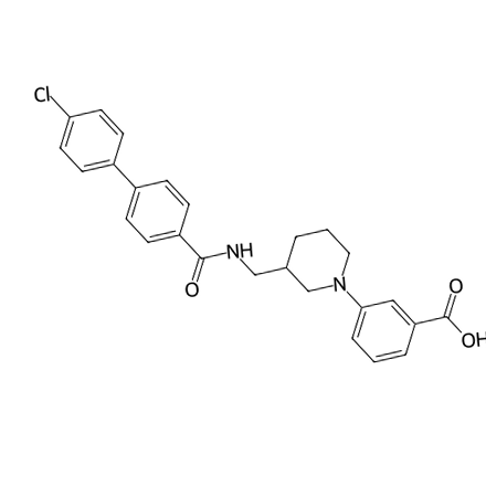 O=C(O)c1cccc(N2CCCC(CNC(=O)c3ccc(-c4ccc(Cl)cc4)cc3)C2)c1